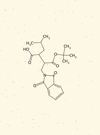 CC(C)CC(C(=O)O)C(CN1C(=O)c2ccccc2C1=O)C(=O)OC(C)(C)C